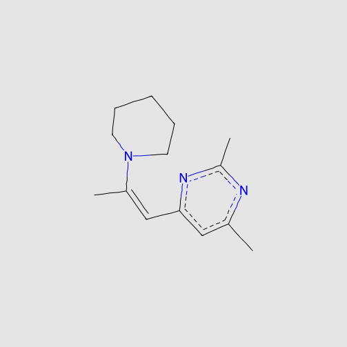 CC(=Cc1cc(C)nc(C)n1)N1CCCCC1